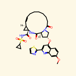 COc1ccc2c(O[C@@H]3C[C@H]4C(=O)N[C@]5(C(=O)NS(=O)(=O)C6CC6)C[C@H]5/C=C\CCCCCCC(=O)N4C3)cc(-c3nccs3)nc2c1